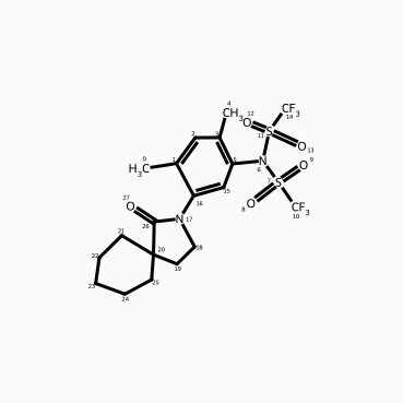 Cc1cc(C)c(N(S(=O)(=O)C(F)(F)F)S(=O)(=O)C(F)(F)F)cc1N1CCC2(CCCCC2)C1=O